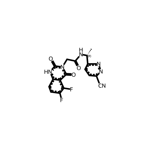 C[C@@H](NC(=O)Cn1c(=O)[nH]c2ccc(F)c(F)c2c1=O)c1ccc(C#N)nn1